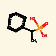 CC(c1ccccc1)P(=O)(O)O